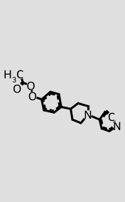 CC(=O)OOc1ccc(C2CCN(c3ccncc3)CC2)cc1